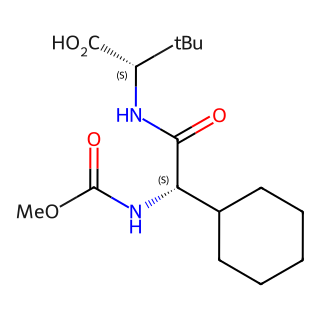 COC(=O)N[C@H](C(=O)N[C@H](C(=O)O)C(C)(C)C)C1CCCCC1